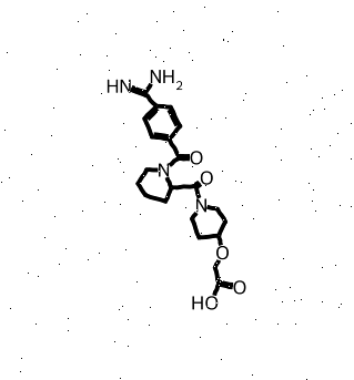 N=C(N)c1ccc(C(=O)N2CCCCC2C(=O)N2CCC(OCC(=O)O)CC2)cc1